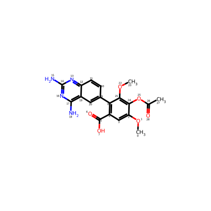 COc1cc(C(=O)O)c(-c2ccc3nc(N)nc(N)c3c2)c(OC)c1OC(C)=O